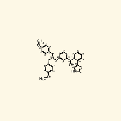 COc1ccc(CN(Cc2ccc(OC)cc2)Sc2cccc(C(O)c3ccccc3-c3c[nH]cn3)c2)cc1